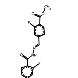 COC(=O)c1ccc(/C=N/NC(=O)c2ccccc2F)cc1F